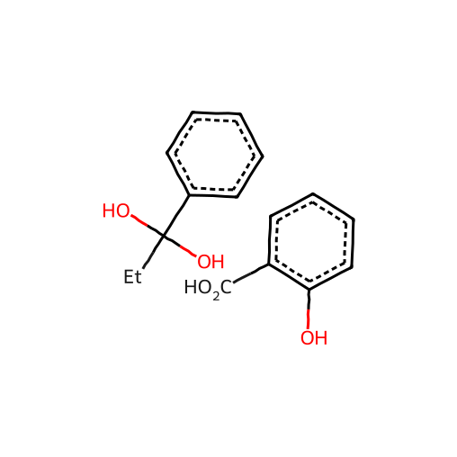 CCC(O)(O)c1ccccc1.O=C(O)c1ccccc1O